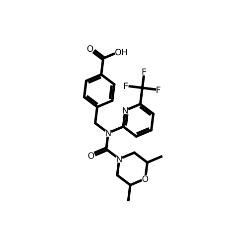 CC1CN(C(=O)N(Cc2ccc(C(=O)O)cc2)c2cccc(C(F)(F)F)n2)CC(C)O1